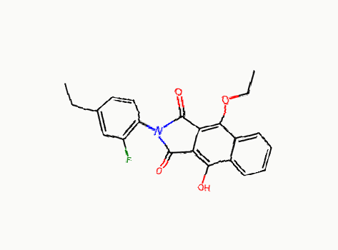 CCOc1c2c(c(O)c3ccccc13)C(=O)N(c1ccc(CC)cc1F)C2=O